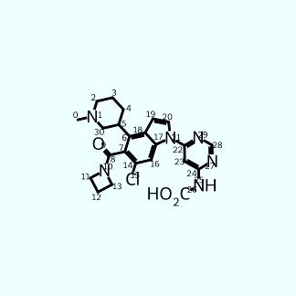 CN1CCCC(c2c(C(=O)N3CCC3)c(Cl)cc3c2ccn3-c2cc(NC(=O)O)ncn2)C1